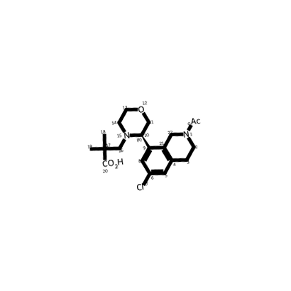 CC(=O)N1CCc2cc(Cl)cc([C@@H]3COCCN3CC(C)(C)C(=O)O)c2C1